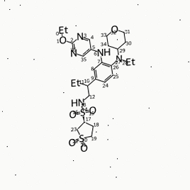 CCOc1ncc(Nc2cc(C(CC)CNS(=O)(=O)[C@H]3CCS(=O)(=O)C3)ccc2N(CC)C2CCOCC2)cn1